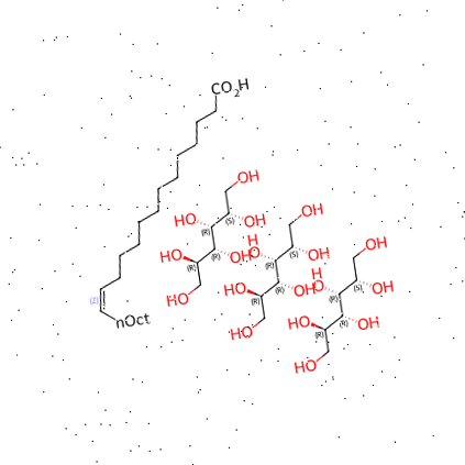 CCCCCCCC/C=C\CCCCCCCCCCCC(=O)O.OC[C@@H](O)[C@@H](O)[C@H](O)[C@@H](O)CO.OC[C@@H](O)[C@@H](O)[C@H](O)[C@@H](O)CO.OC[C@@H](O)[C@@H](O)[C@H](O)[C@@H](O)CO